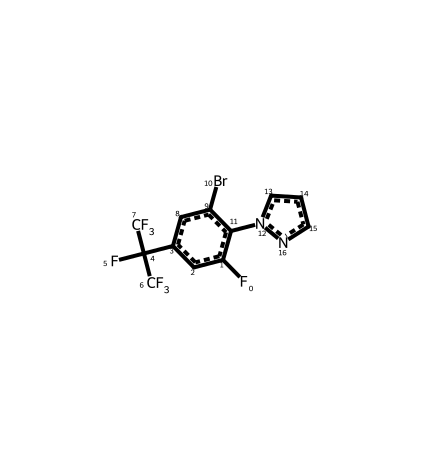 Fc1cc(C(F)(C(F)(F)F)C(F)(F)F)cc(Br)c1-n1cccn1